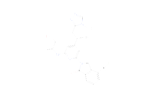 CC(CO)Nc1cc(C(C)Cc2nncn2C)cc(N2Cc3c(cccc3C(F)(F)F)C2=O)n1